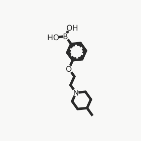 CC1CCN(CCOc2cccc(B(O)O)c2)CC1